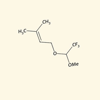 COC(OCC=C(C)C)C(F)(F)F